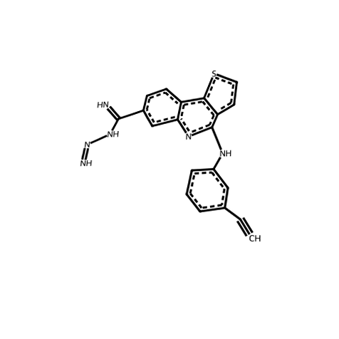 C#Cc1cccc(Nc2nc3cc(C(=N)NN=N)ccc3c3sccc23)c1